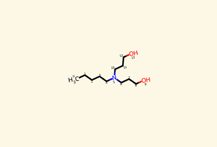 CCCCCN(CCCO)CCCO